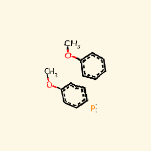 COc1ccccc1.COc1ccccc1.[P]